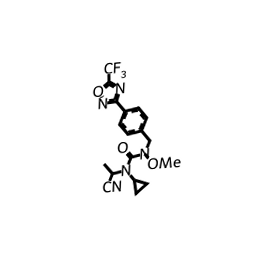 CON(Cc1ccc(-c2noc(C(F)(F)F)n2)cc1)C(=O)N(C(C)C#N)C1CC1